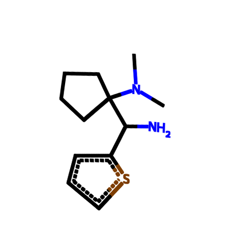 CN(C)C1(C(N)c2cccs2)CCCC1